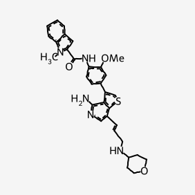 COc1cc(-c2csc3c(C=CCNC4CCOCC4)cnc(N)c23)ccc1NC(=O)c1cc2ccccc2n1C